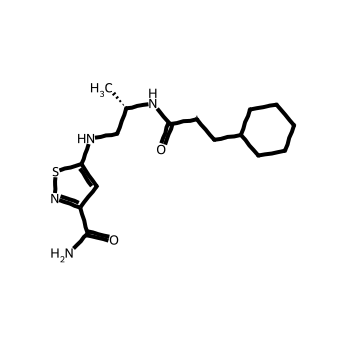 C[C@@H](CNc1cc(C(N)=O)ns1)NC(=O)[CH]CC1CCCCC1